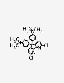 CN(C)c1ccc(C2(c3ccc(N(C)C)cc3)c3ccc(Cl)nc3-c3nc(Cl)ccc32)cc1